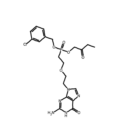 CCC(=O)COP(=O)(CCOCCn1cnc2c(=O)[nH]c(N)nc21)OCc1cccc(Cl)c1